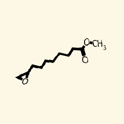 COC(=O)CCCCCCCC1CO1